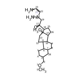 COCC1CCC2C(CCC3C2CCC2(C)C(C(=O)CN(N)/C=C\N)CCC32)C1